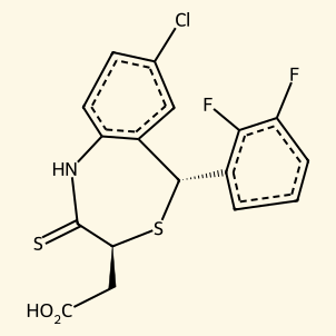 O=C(O)C[C@@H]1S[C@@H](c2cccc(F)c2F)c2cc(Cl)ccc2NC1=S